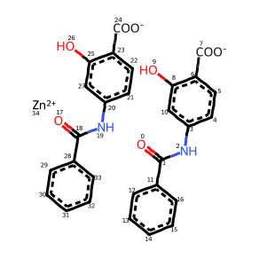 O=C(Nc1ccc(C(=O)[O-])c(O)c1)c1ccccc1.O=C(Nc1ccc(C(=O)[O-])c(O)c1)c1ccccc1.[Zn+2]